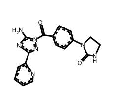 Nc1nc(-c2ccccn2)nn1C(=O)c1ccc(N2CCNC2=O)cc1